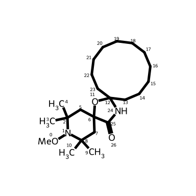 CON1C(C)(C)CC2(CC1(C)C)OC1(CCCCCCCCCCC1)NC2=O